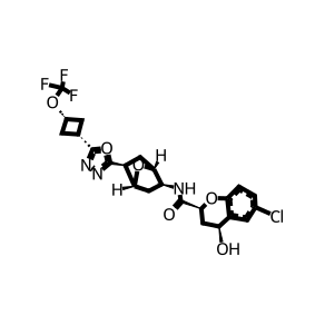 O=C(N[C@H]1C[C@H]2O[C@@H]1C[C@@H]2c1nnc([C@H]2C[C@@H](OC(F)(F)F)C2)o1)[C@@H]1C[C@H](O)c2cc(Cl)ccc2O1